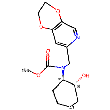 CC(C)(C)OC(=O)N(Cc1cc2c(cn1)OCCO2)[C@@H]1C[CH2][Zn][CH2][C@H]1O